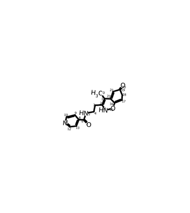 CC1=C(CCNC(=O)c2ccncc2)NOC2=CCC(=O)C=C21